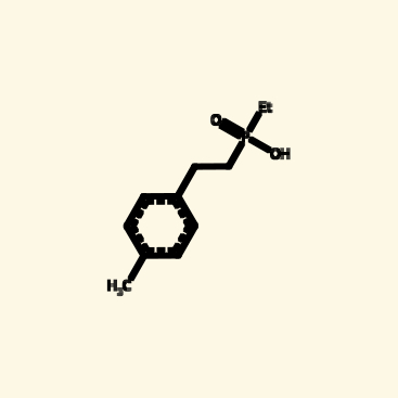 CCP(=O)(O)CCc1ccc(C)cc1